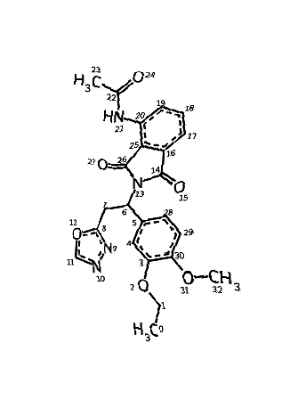 CCOc1cc(C(Cc2nnco2)N2C(=O)c3cccc(NC(C)=O)c3C2=O)ccc1OC